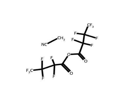 CC#N.O=C(OC(=O)C(F)(F)C(F)(F)C(F)(F)F)C(F)(F)C(F)(F)C(F)(F)F